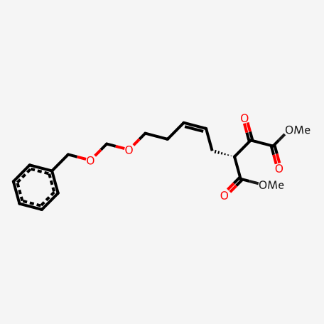 COC(=O)C(=O)[C@@H](C/C=C\CCOCOCc1ccccc1)C(=O)OC